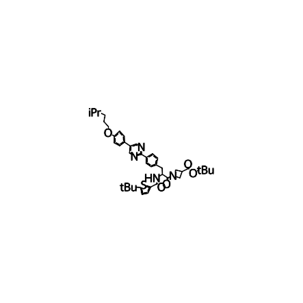 CC(C)CCCOc1ccc(-c2cnc(-c3ccc(CC(NC(=O)c4ccc(C(C)(C)C)s4)C(=O)N4CC(C(=O)OC(C)(C)C)C4)cc3)nc2)cc1